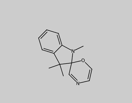 CN1c2ccccc2C(C)(C)C12C=NC=CO2